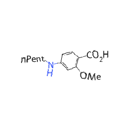 CCCCCNc1ccc(C(=O)O)c(OC)c1